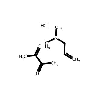 C=CCN(C)C.CC(=O)C(C)=O.Cl